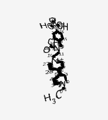 CC[n+]1ccc(-c2cc[n+](CCN(Cc3ccc(P(=O)(O)O)cc3)C(C)=O)cc2)cc1